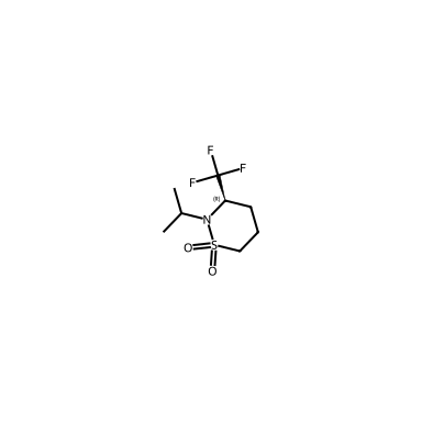 CC(C)N1[C@@H](C(F)(F)F)CCCS1(=O)=O